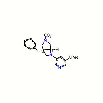 COc1cncc(N2C[C@@]3(Cc4ccccc4)CN(C(=O)O)C[C@@H]23)c1